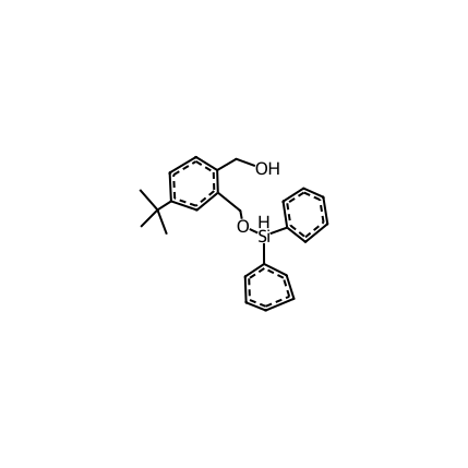 CC(C)(C)c1ccc(CO)c(CO[SiH](c2ccccc2)c2ccccc2)c1